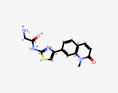 Cn1c(=O)ccc2ccc(-c3csc(NC(=O)CN)n3)cc21